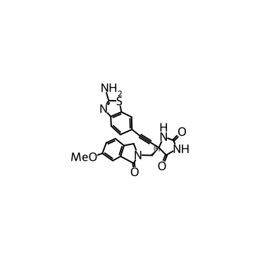 COc1ccc2c(c1)C(=O)N(C[C@@]1(C#Cc3ccc4nc(N)sc4c3)NC(=O)NC1=O)C2